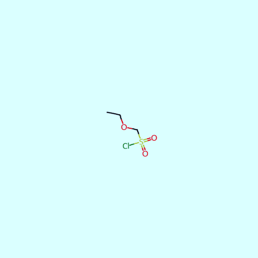 CCOCS(=O)(=O)Cl